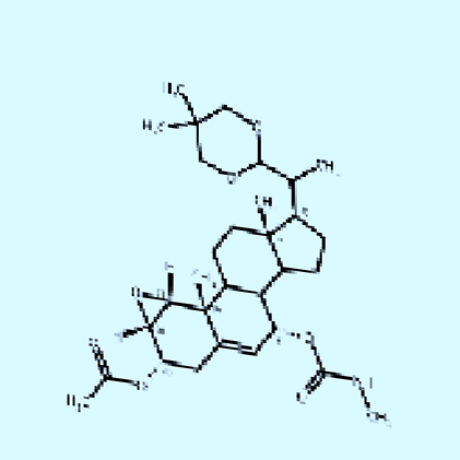 CNC(=O)O[C@@H]1C=C2C[C@H](OC(C)=O)[C@@H]3O[C@@H]3[C@]2(C)C2CC[C@@]3(C)C(CC[C@@H]3C(C)C3OCC(C)(C)CO3)C21